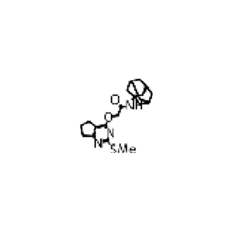 CSc1nc2c(c(OCC(=O)NC34CC5CC(CC(C5)C3)C4)n1)CCC2